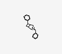 c1ccc(CN2CC3CC(c4ccccc4)C3C2)cc1